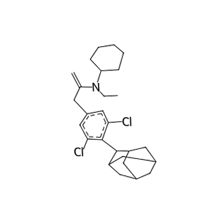 C=C(Cc1cc(Cl)c(C2C3CC4CC(C3)CC2C4)c(Cl)c1)N(CC)C1CCCCC1